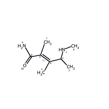 CNC(C)/C(C)=C(\C)C(N)=O